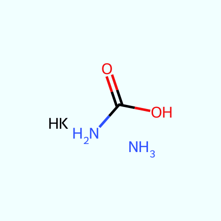 N.NC(=O)O.[KH]